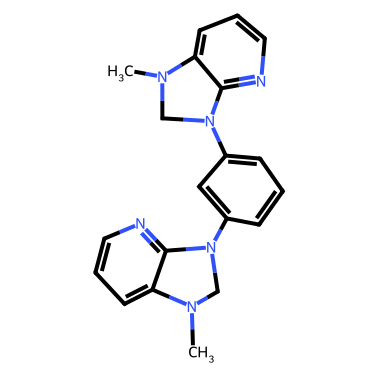 CN1CN(c2cccc(N3CN(C)c4cccnc43)c2)c2ncccc21